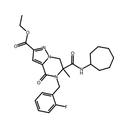 CCOC(=O)c1cc2n(n1)CC(C)(C(=O)NC1CCCCCC1)N(Cc1ccccc1F)C2=O